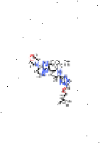 CCOC(=O)c1nc2c(N3CCOCC3)ccnn2c1-c1ccc(-c2nnn(COCC[Si](C)(C)C)n2)nc1